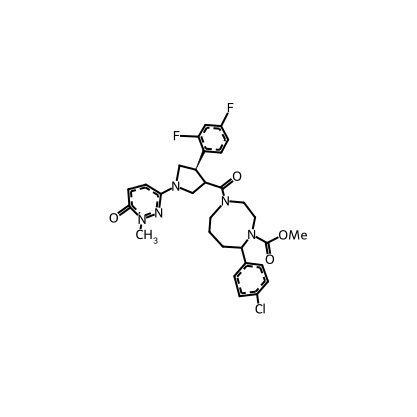 COC(=O)N1CCN(C(=O)C2CN(c3ccc(=O)n(C)n3)C[C@H]2c2ccc(F)cc2F)CCCC1c1ccc(Cl)cc1